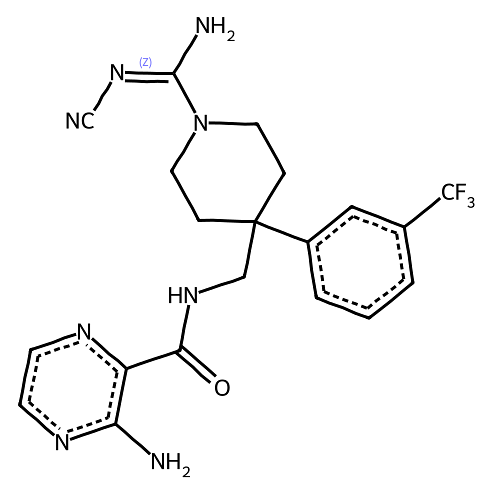 N#C/N=C(/N)N1CCC(CNC(=O)c2nccnc2N)(c2cccc(C(F)(F)F)c2)CC1